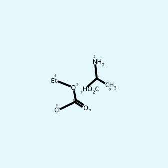 CC(N)C(=O)O.CCOC(=O)Cl